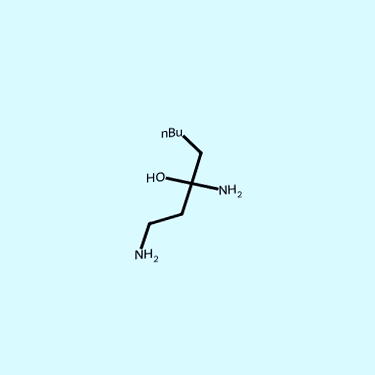 CCCCCC(N)(O)CCN